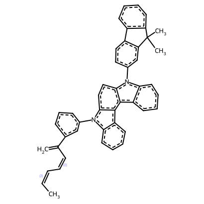 C=C(/C=C\C=C/C)c1cccc(-n2c3ccccc3c3c4c5ccccc5n(-c5ccc6c(c5)C(C)(C)c5ccccc5-6)c4ccc32)c1